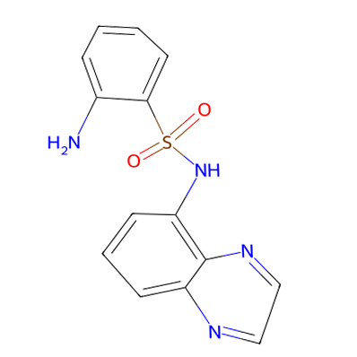 Nc1ccccc1S(=O)(=O)Nc1cccc2nccnc12